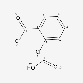 O=C(Cl)c1ccccc1Cl.O=CO